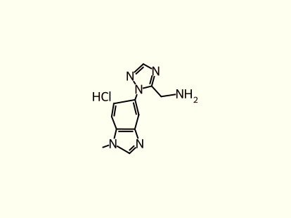 Cl.Cn1cnc2cc(-n3ncnc3CN)ccc21